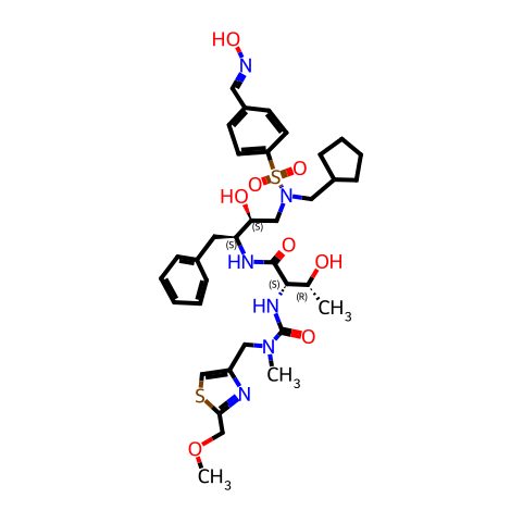 COCc1nc(CN(C)C(=O)N[C@H](C(=O)N[C@@H](Cc2ccccc2)[C@@H](O)CN(CC2CCCC2)S(=O)(=O)c2ccc(C=NO)cc2)[C@@H](C)O)cs1